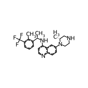 Cc1c([C@@H](C)Nc2ccnc3ccc(N4CCNC[C@H]4C)cc23)cccc1C(F)(F)F